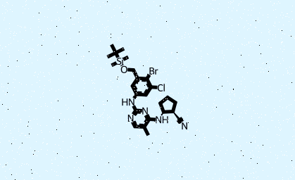 Cc1cnc(Nc2cc(Cl)c(Br)c(CO[Si](C)(C)C(C)(C)C)c2)nc1N[C@@H]1CCC[C@H]1C#N